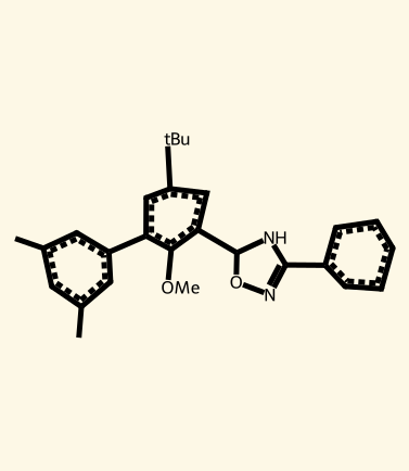 COc1c(-c2cc(C)cc(C)c2)cc(C(C)(C)C)cc1C1NC(c2ccccc2)=NO1